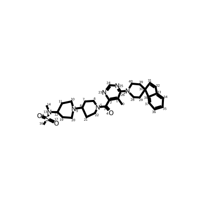 Cc1c(C(=O)N2CCC(N3CCC(N(C)S(C)(=O)=O)CC3)CC2)ncnc1N1CCC2(C=Cc3ccccc32)CC1